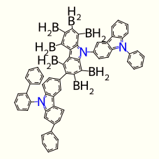 Bc1c(B)c(B)c2c(c1B)c1c(B)c(-c3ccc4c(c3)c3ccc(-c5ccccc5)cc3n4-c3ccccc3-c3ccccc3)c(B)c(B)c1n2-c1ccc2c(c1)c1ccccc1n2-c1ccccc1